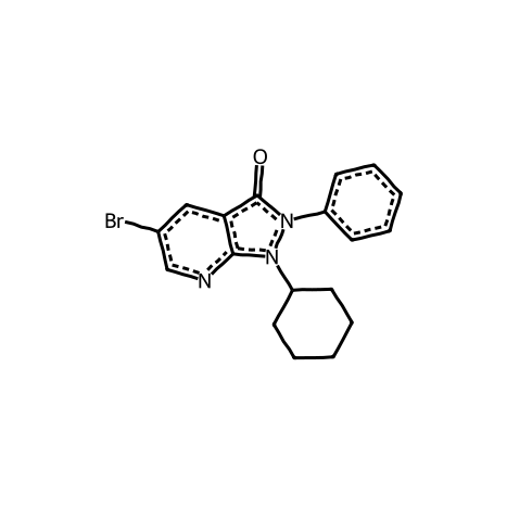 O=c1c2cc(Br)cnc2n(C2CCCCC2)n1-c1ccccc1